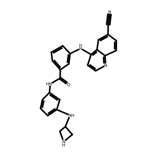 N#Cc1ccc2nccc(Nc3cccc(C(=O)Nc4cccc(NC5CNC5)c4)c3)c2c1